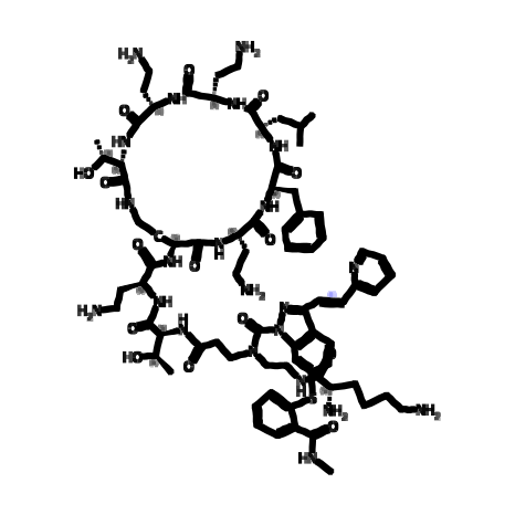 CNC(=O)c1ccccc1Sc1ccc2c(/C=C/c3ccccn3)nn(C(=O)N(CCNC(=O)[C@@H](N)CCCCN)CCC(=O)N[C@H](C(=O)N[C@@H](CCN)C(=O)N[C@H]3CCNC(=O)[C@H]([C@@H](C)O)NC(=O)[C@H](CCN)NC(=O)[C@H](CCN)NC(=O)[C@H](CC(C)C)NC(=O)[C@@H](Cc4ccccc4)NC(=O)[C@H](CCN)NC3=O)[C@@H](C)O)c2c1